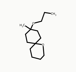 CCCOC1(C)CCC2(CCCCO2)CC1